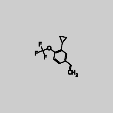 C=Cc1ccc(OC(F)(F)F)c(C2CC2)c1